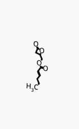 CCC/C=C/C(=O)OCC1CC(=O)O1